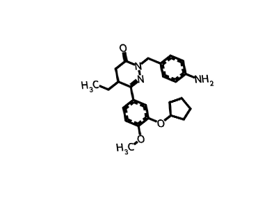 CCC1CC(=O)N(Cc2ccc(N)cc2)N=C1c1ccc(OC)c(OC2CCCC2)c1